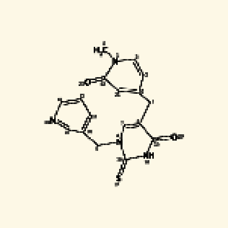 Cn1ccc(Cc2cn(Cc3cccnc3)c(=S)[nH]c2=O)cc1=O